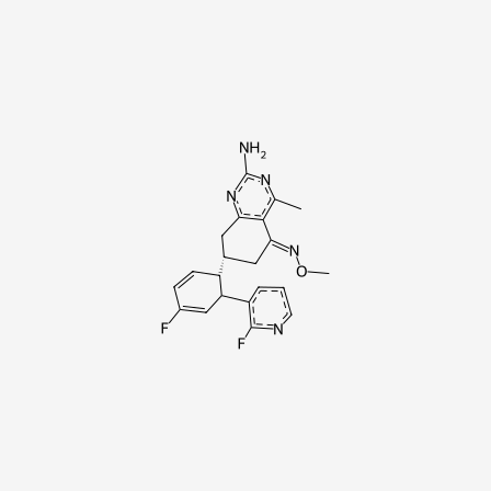 CO/N=C1\C[C@H](C2C=CC(F)=CC2c2cccnc2F)Cc2nc(N)nc(C)c21